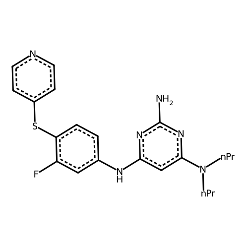 CCCN(CCC)c1cc(Nc2ccc(Sc3ccncc3)c(F)c2)nc(N)n1